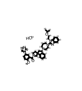 COc1ccc(-n2cnnn2)cc1C(=O)N1CCC(CCN2CCCN(c3nc4ccccc4n3CCOC(C)C)CC2)(c2ccccc2)C1.Cl